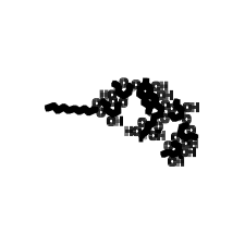 CCCCCCCCCC(=O)O[C@@H]1C(C)O[C@@H](O[C@@H]2C[C@H](Oc3cc4cc5c(c(O)c4c(O)c3C)C(=O)[C@@H](O[C@H]3C[C@@H](O[C@H]4C[C@@H](O[C@H]6C[C@](C)(O)[C@H](O)C(C)O6)[C@@H](O)C(C)O4)[C@H](O)C(C)O3)[C@H]([C@H](OC)C(=O)[C@@H](O)[C@@H](C)O)C5)OC(C)[C@H]2O)C[C@H]1O